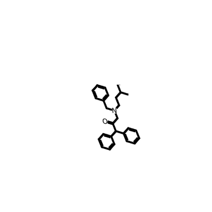 [CH2]C(C)CCN(CC(=O)C(c1ccccc1)c1ccccc1)Cc1ccccc1